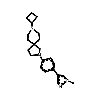 Cn1cc(-c2ccc(N3CCC4(CCN(C5CCC5)CC4)C3)cc2)cn1